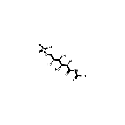 CC(=O)NC(=O)[C@@H](O)[C@@H](O)[C@H](O)[C@H](O)COP(=O)(O)O